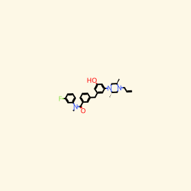 C=CCN1C[C@H](C)N(c2cc(O)cc(Cc3cccc(C(=O)N(C)c4cccc(F)c4)c3)c2)C[C@H]1C